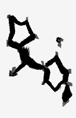 CCC(C1CCCC1)[n+]1ccn(C)c1.[Cl-]